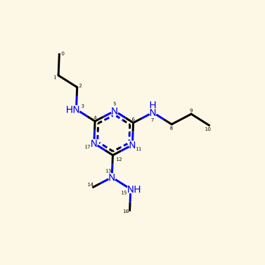 CCCNc1nc(NCCC)nc(N(C)NC)n1